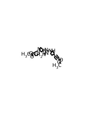 CCOC(=O)N1CCN(c2ccc(Nc3nc(N)n(-c4ccnc(N5CCCN(C(=O)OC)CC5)c4)n3)cc2)CC1